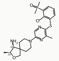 Cc1nc(N2CCC3(CC2)CO[C@@H](C)[C@H]3N)cnc1Sc1cccc(P(C)(C)=O)c1Cl